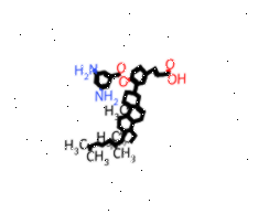 CC(C)CCC[C@@H](C)[C@H]1CCC2C3CC=C4CC(c5cc(C=CC(=O)O)ccc5OC(=O)c5cc(N)cc(N)c5)CC[C@]4(C)C3CC[C@@]21C